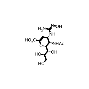 CC(=O)N[C@H]1[C@H]([C@H](O)[C@H](O)CO)OC(C(=O)O)=C[C@@H]1N/C(N)=N\O